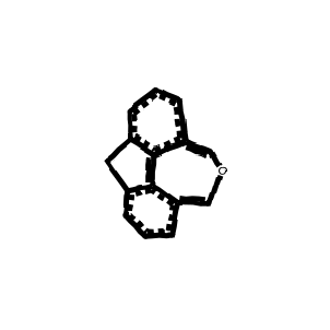 C1=c2cccc3c2=c2c(cccc2=CO1)C3